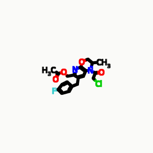 CC(=O)OCc1nc2c(cc1Cc1ccc(F)cc1)N(C(=O)CCl)C(C)CO2